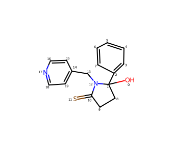 OC1(c2ccccc2)CCC(=S)N1Cc1ccncc1